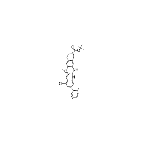 COc1cc2c(cc1Nc1ncc3c(Cl)cc(-c4cnccc4C)cc3n1)CN(C(=O)OC(C)(C)C)CC2